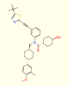 COc1ccc([C@H]2CC[C@H](CN(c3cccc(C#Cc4ncc([Si](C)(C)C)s4)c3)C(=O)[C@H]3CC[C@H](O)CC3)CC2)cc1C